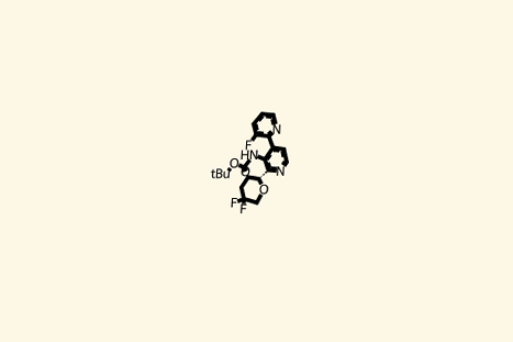 CC(C)(C)OC(=O)Nc1c(-c2ncccc2F)ccnc1[C@H]1CCC(F)(F)CO1